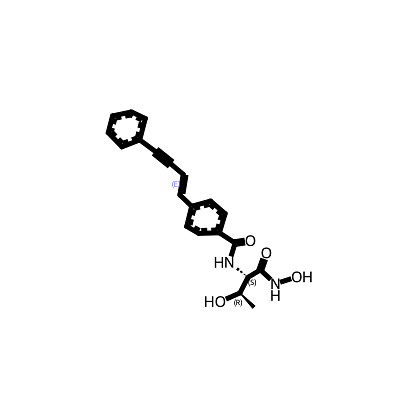 C[C@@H](O)[C@H](NC(=O)c1ccc(/C=C/C#Cc2ccccc2)cc1)C(=O)NO